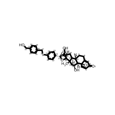 C[C@]12C=CC(=O)C=C1CC[C@@H]1[C@@H]2[C@@H](O)C[C@@]2(C)[C@H]1C[C@H]1O[C@@H](c3ccc(SCc4ccc(CO)cc4)cc3)O[C@]12C(=O)CO